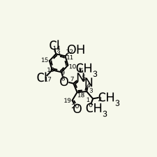 CC(C)c1nn(C)c(Oc2cc(O)c(Cl)cc2Cl)c1C=O